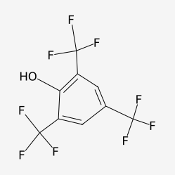 Oc1c(C(F)(F)F)cc(C(F)(F)F)cc1C(F)(F)F